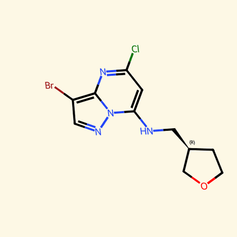 Clc1cc(NC[C@H]2CCOC2)n2ncc(Br)c2n1